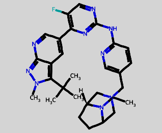 CCN1C2CC[C@@H]1CN(Cc1ccc(Nc3ncc(F)c(-c4cnc5nn(C)c(C(C)(C)C)c5c4)n3)nc1)C2